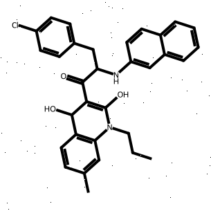 CCCN1C(O)=C(C(=O)C(Cc2ccc(Cl)cc2)Nc2ccc3ccccc3c2)C(O)c2ccc(C)cc21